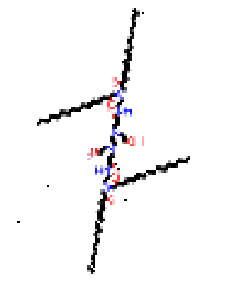 CCCCCCCCCCCCCCC(=O)CN(CCNC(=O)CCN(CCO)CCN(CCOI)CCC(=O)NCCN(CC(=O)CCCCCCCCCCCCCC)CC(=O)CCCCCCCCCCCCCC)CC(=O)CCCCCCCCCCCCCC